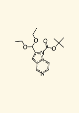 CCOC(OCC)c1cc2cnccc2n1C(=O)OC(C)(C)C